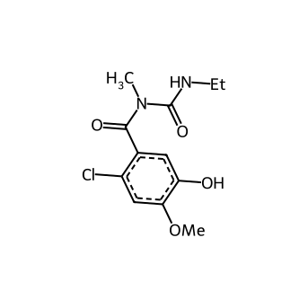 CCNC(=O)N(C)C(=O)c1cc(O)c(OC)cc1Cl